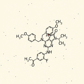 COc1ccc(CN(Cc2ccc(OC)cc2)c2nc(Nc3ccc(C(C)=O)cc3F)nc3c2[nH]c(=O)n3C(C)C)cc1